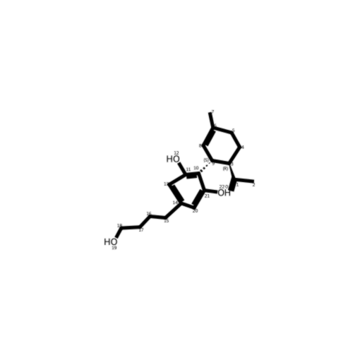 C=C(C)[C@@H]1CCC(C)=C[C@H]1c1c(O)cc(CCCCO)cc1O